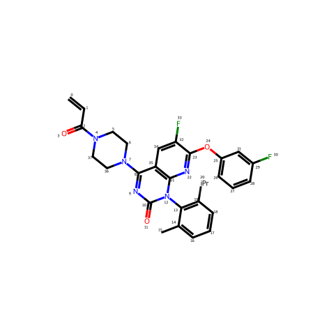 C=CC(=O)N1CCN(c2nc(=O)n(-c3c(C)cccc3C(C)C)c3nc(Oc4cccc(F)c4)c(F)cc23)CC1